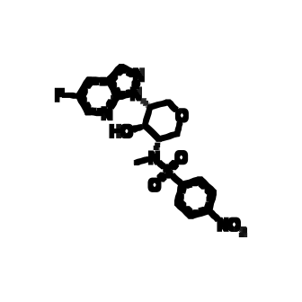 CN([C@H]1COC[C@@H](n2ncc3cc(F)cnc32)[C@@H]1O)S(=O)(=O)c1ccc([N+](=O)[O-])cc1